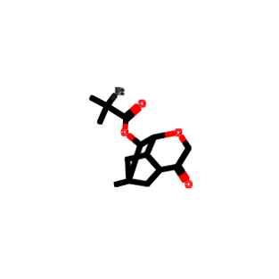 CCC(C)(C)C(=O)OC1C2OCC(=O)C3CC1(C)CC32